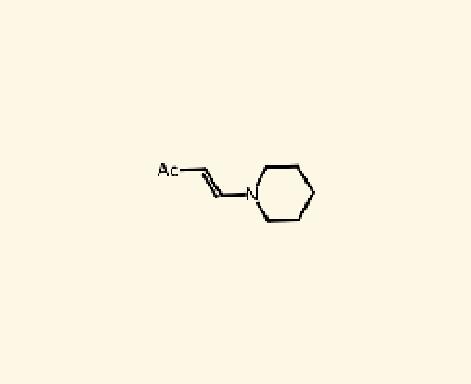 CC(=O)C=CN1CCCCC1